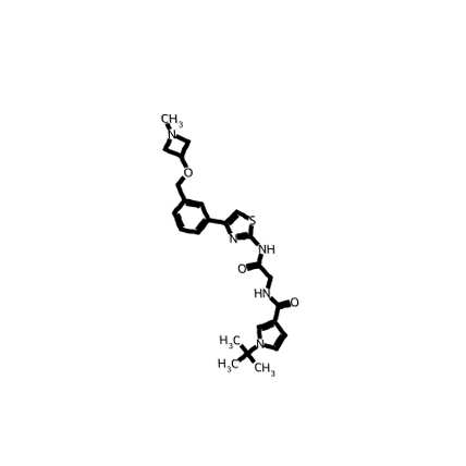 CN1CC(OCc2cccc(-c3csc(NC(=O)CNC(=O)c4ccn(C(C)(C)C)c4)n3)c2)C1